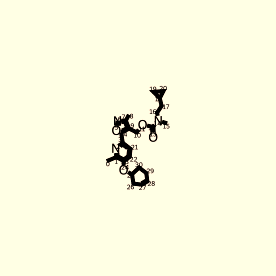 Cc1nc(-c2onc(C)c2COC(=O)N(C)CCC2CC2)ccc1OC1CC=CCC1